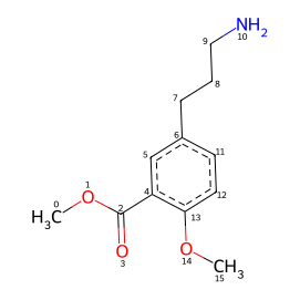 COC(=O)c1cc(CCCN)ccc1OC